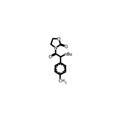 CCCCC(C(=O)N1CCOC1=O)c1ccc(C)cc1